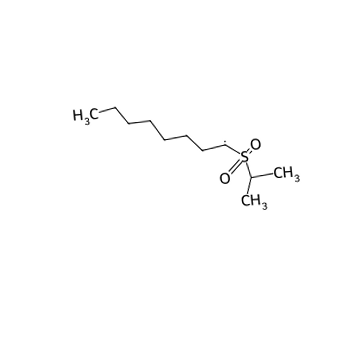 CCCCCCC[CH]S(=O)(=O)C(C)C